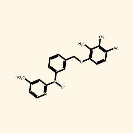 CC(=O)c1ccc(OCc2cccc([S+]([O-])c3cc(C(=O)O)ccn3)c2)c(C)c1O